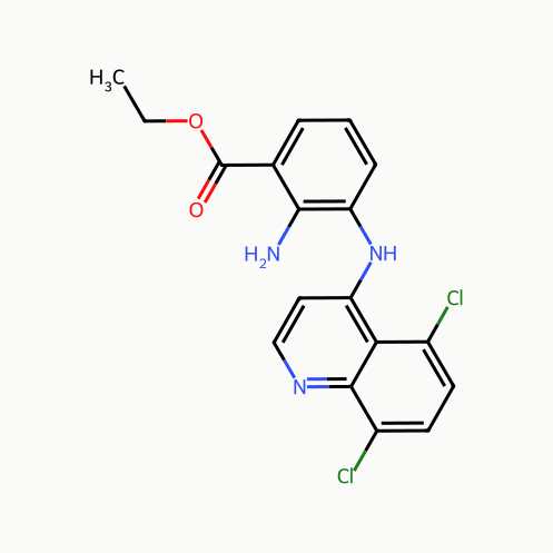 CCOC(=O)c1cccc(Nc2ccnc3c(Cl)ccc(Cl)c23)c1N